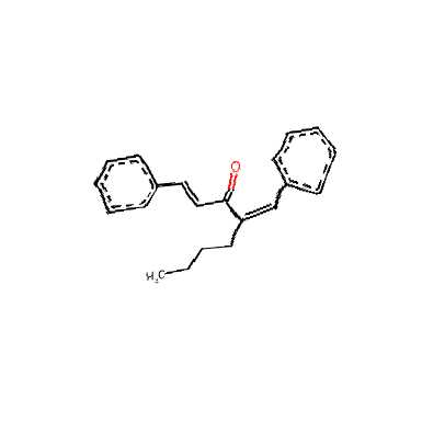 CCCCC(=Cc1ccccc1)C(=O)C=Cc1ccccc1